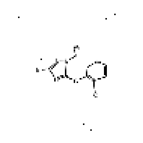 CC(C)Cn1nc(Br)nc1OC1=C(Cl)C=CCC1